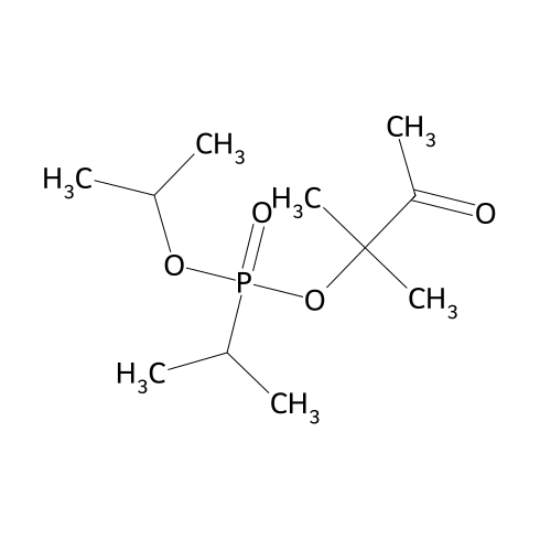 CC(=O)C(C)(C)OP(=O)(OC(C)C)C(C)C